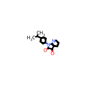 CC(C)c1ccc(N2C(=O)C(=O)c3cccnc32)cc1